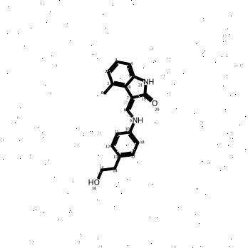 Cc1cccc2c1/C(=C/Nc1ccc(CCO)cc1)C(=O)N2